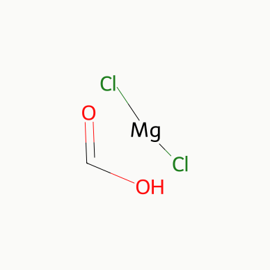 O=CO.[Cl][Mg][Cl]